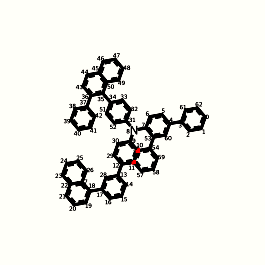 c1ccc(-c2ccc(N(c3ccc(-c4cccc(-c5cccc6ccccc56)c4)cc3)c3ccc(-c4c(-c5ccccc5)ccc5ccccc45)cc3)c(-c3ccccc3)c2)cc1